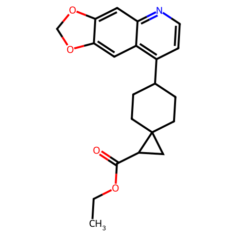 CCOC(=O)C1CC12CCC(c1ccnc3cc4c(cc13)OCO4)CC2